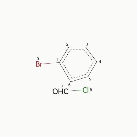 Brc1ccccc1.O=CCl